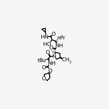 C=C1C[C@@H](C(=O)N[C@@H](CCC)C(O)C(=O)NC2CC2)N(C(=O)[C@@H](NC(=O)O[C@H]2CCOC2)C(C)(C)C)C1